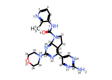 Cc1ncccc1NC(=O)N1CCc2c(-c3cnc(N)nc3)nc(N3CCOCC3)nc21